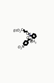 CCOC(=O)CCCO/N=C/c1ccccc1N(C)C(=O)c1ccc([N+](=O)[O-])cc1